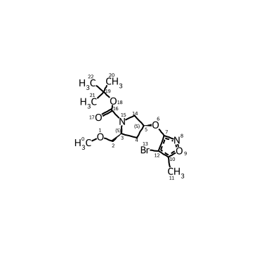 COC[C@@H]1C[C@H](Oc2noc(C)c2Br)CN1C(=O)OC(C)(C)C